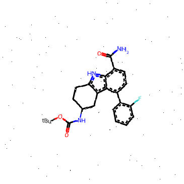 CC(C)(C)OC(=O)NC1CCc2[nH]c3c(C(N)=O)ccc(-c4ccccc4F)c3c2C1